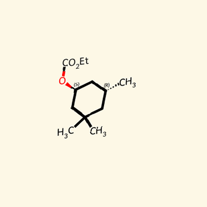 CCOC(=O)O[C@H]1C[C@H](C)CC(C)(C)C1